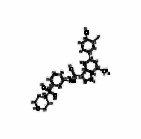 Cc1cc(-c2cc(C(F)(F)F)n3ncc(C(=O)Nc4cccc(S(=O)(=O)N5CCOCC5)c4)c3n2)ccc1Cl